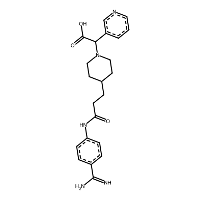 N=C(N)c1ccc(NC(=O)CCC2CCN(C(C(=O)O)c3cccnc3)CC2)cc1